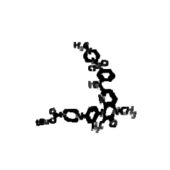 CC1C(=O)N(C)c2ccc(Nc3cccc(S(=O)(=O)N4CCN(C)CC4)c3)nc2N1c1ccc(N2CCN(C(=O)OC(C)(C)C)CC2)cc1